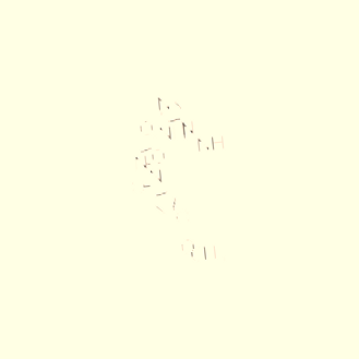 COCCOc1ccc2c(c1)CN(c1ncc(C(=O)Nc3cnccc3N3CCNCC3)o1)C2=O